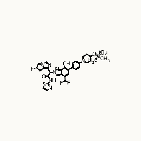 Cc1c(-c2ccc(N3CCC(O[Si](C)(C)C(C)(C)C)CC3)cc2)cc(C(F)F)c2cn(C(C(=O)Nc3nccs3)c3ncn4c3C[C@@H](F)C4)nc12